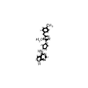 Cc1ccc(Cc2nnc([C@H]3CC[C@H](Nc4ncnc5[nH]ncc45)C3)n2C)cc1